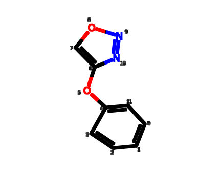 [c]1cccc(Oc2conn2)c1